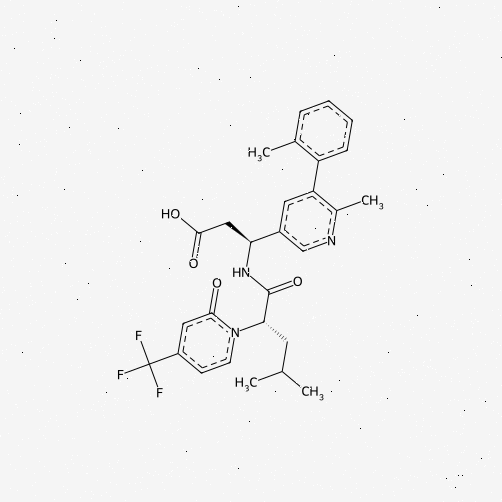 Cc1ccccc1-c1cc([C@H](CC(=O)O)NC(=O)[C@H](CC(C)C)n2ccc(C(F)(F)F)cc2=O)cnc1C